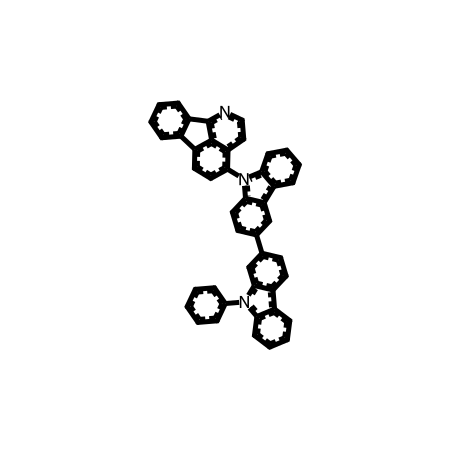 c1ccc(-n2c3ccccc3c3ccc(-c4ccc5c(c4)c4ccccc4n5-c4ccc5c6c(nccc46)-c4ccccc4-5)cc32)cc1